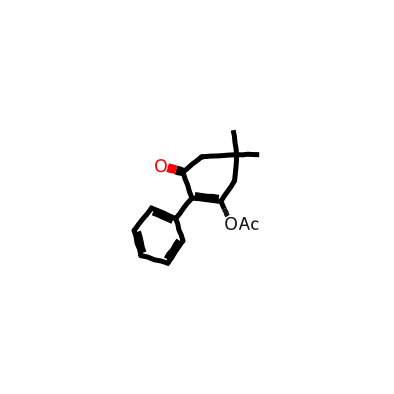 CC(=O)OC1=C(c2ccccc2)C(=O)CC(C)(C)C1